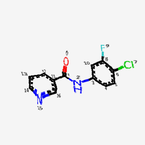 O=C(Nc1ccc(Cl)c(F)c1)c1cccnc1